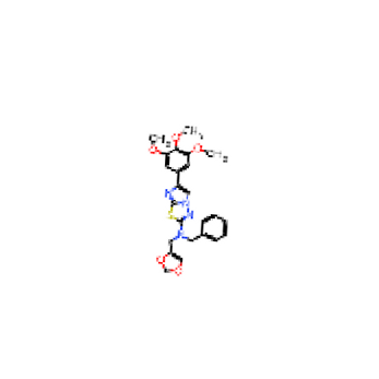 COc1cc(-c2cn3nc(N(CC4=COCO4)Cc4ccccc4)sc3n2)cc(OC)c1OC